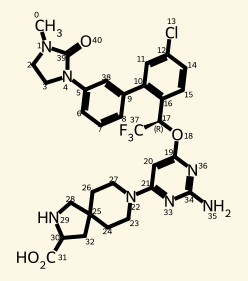 CN1CCN(c2cccc(-c3cc(Cl)ccc3[C@@H](Oc3cc(N4CCC5(CC4)CNC(C(=O)O)C5)nc(N)n3)C(F)(F)F)c2)C1=O